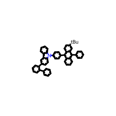 CC(C)(C)c1ccc2c(-c3ccc(-n4c5ccccc5c5cc(-c6ccccc6-c6ccccc6)ccc54)cc3)c3ccccc3c(-c3ccccc3)c2c1